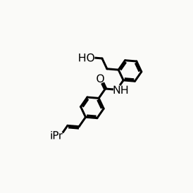 CC(C)/C=C/c1ccc(C(=O)Nc2ccccc2CCO)cc1